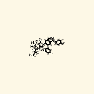 CC(F)(F)C(=O)N[C@@H]1[C@@H](c2ccccc2)N(c2ccc3c(cnn3-c3ccc(F)cc3)c2)C(=O)C1(C)C